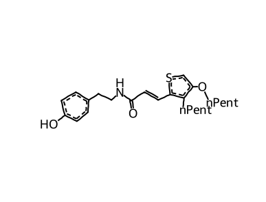 CCCCCOc1csc(C=CC(=O)NCCc2ccc(O)cc2)c1CCCCC